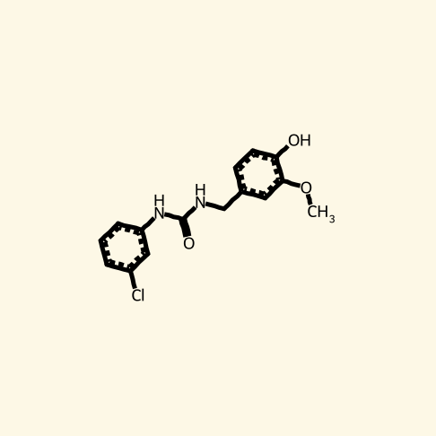 COc1cc(CNC(=O)Nc2cccc(Cl)c2)ccc1O